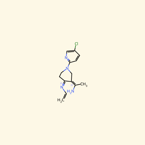 C=C/N=C1/CCN(c2ccc(Cl)cn2)C/C1=C(\C)N